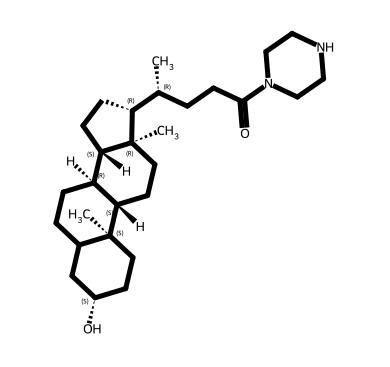 C[C@H](CCC(=O)N1CCNCC1)[C@H]1CC[C@H]2[C@@H]3CCC4C[C@@H](O)CC[C@]4(C)[C@H]3CC[C@]12C